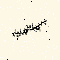 C=C[C@@H](N)CCCc1cc(Cl)c(F)c(-c2cc3cn(-c4ccc(CN[C@@H](CO)CCNC(C)=N)cc4)c(=O)nc3[nH]2)c1